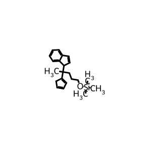 CC(CCCO[Si](C)(C)C)(C1=CC=CC1)C1C=Cc2ccccc21